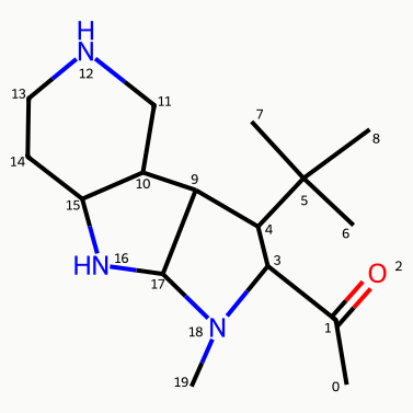 CC(=O)C1C(C(C)(C)C)C2C3CNCCC3NC2N1C